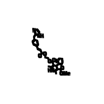 COC(=O)C1=C(C)NC(C)=C(C(=O)OCCOC(=O)C=Cc2ccc(Cc3ncc[nH]3)cc2)C1c1ccccn1